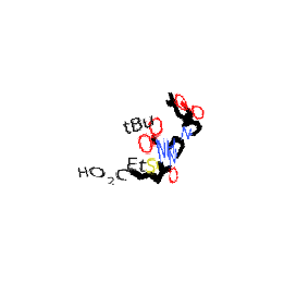 CC/C(=C\c1cc(C(=O)N2CCC(N3CCCC4(C3)CC(C)(C)OC4=O)CC2)c(NC(=O)OC(C)(C)C)s1)C(=O)O